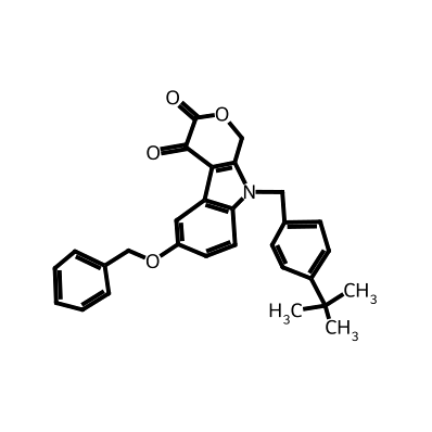 CC(C)(C)c1ccc(Cn2c3c(c4cc(OCc5ccccc5)ccc42)C(=O)C(=O)OC3)cc1